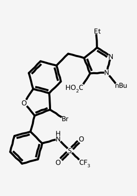 CCCCn1nc(CC)c(Cc2ccc3oc(-c4ccccc4NS(=O)(=O)C(F)(F)F)c(Br)c3c2)c1C(=O)O